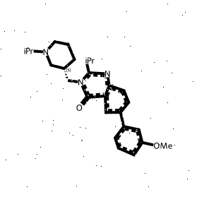 COc1cccc(-c2ccc3nc(C(C)C)n(C[C@H]4CCCN(C(C)C)C4)c(=O)c3c2)c1